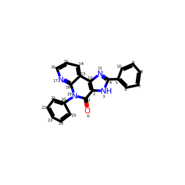 O=c1c2[nH]c(-c3ccccc3)nc2c2cccnc2n1-c1ccccc1